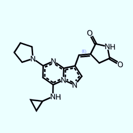 O=C1C/C(=C\c2cnn3c(NC4CC4)cc(N4CCCC4)nc23)C(=O)N1